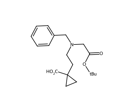 CC(C)(C)OC(=O)CN(CCC1(C(=O)O)CC1)Cc1ccccc1